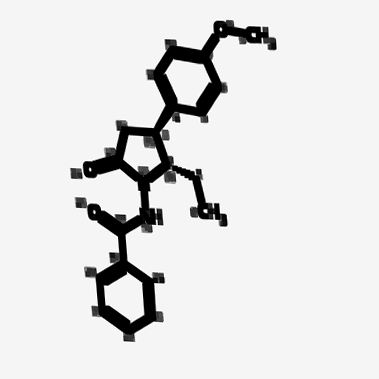 CC[C@H]1[C@H](c2ccc(OC)cc2)CC(=O)N1NC(=O)c1ccccc1